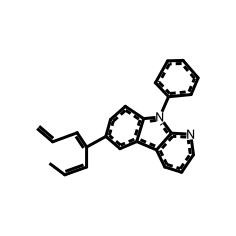 C=C/C=C(\C=C/C)c1ccc2c(c1)c1cccnc1n2-c1ccccc1